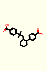 CC(C)(CC1CCCCC1c1ccc(C(=O)O)cc1)c1ccc(C(=O)O)cc1